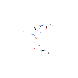 CON=C(C(=O)N[C@@H]1C(=O)N2C(C(=O)O)=C(COC(C)=O)CS[C@@H]12)c1csc(=NC(=O)CCl)n1N